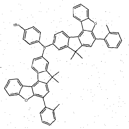 Cc1ccccc1-c1cc2c(c3c1oc1ccccc13)-c1ccc(N(c3ccc(C(C)(C)C)cc3)c3ccc4c(c3)C(C)(C)c3cc(-c5ccccc5C)c5oc6ccccc6c5c3-4)cc1C2(C)C